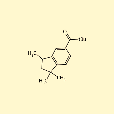 CC1CC(C)(C)c2ccc(C(=O)C(C)(C)C)cc21